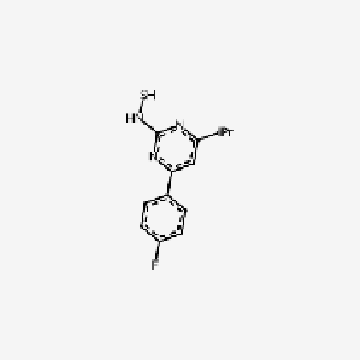 CC(C)c1cc(-c2ccc(F)cc2)nc(NS)n1